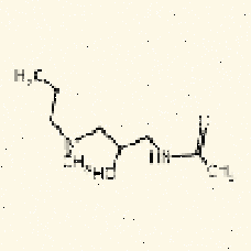 CCCN(C)CC(O)CNC(C)=O